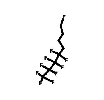 FCC[CH]CC(F)(F)C(F)(F)C(F)(F)C(F)(F)F